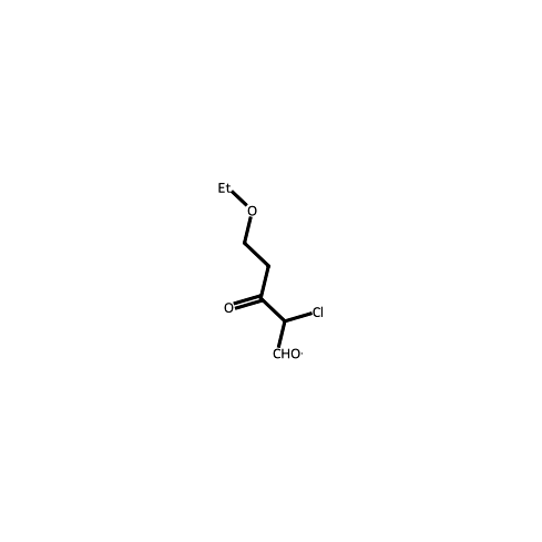 CCOCCC(=O)C(Cl)[C]=O